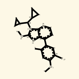 COc1cc(C)c(-c2ccnc3c2nc(OC)n3C(C2CC2)C2CC2)cc1F